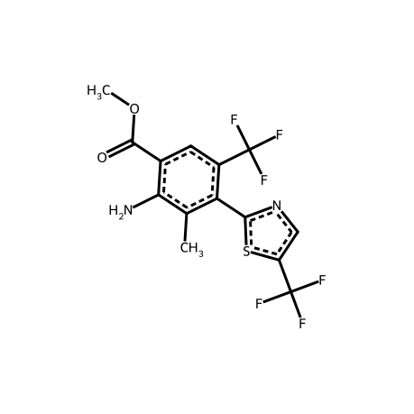 COC(=O)c1cc(C(F)(F)F)c(-c2ncc(C(F)(F)F)s2)c(C)c1N